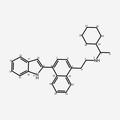 CC(NCCc1ccc(-c2cc3ccccc3[nH]2)c2ccccc12)C1CCCCC1